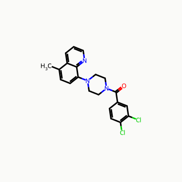 Cc1ccc(N2CCN(C(=O)c3ccc(Cl)c(Cl)c3)CC2)c2ncccc12